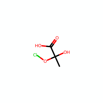 CC(O)(OCl)C(=O)O